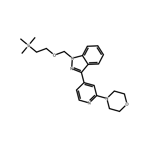 C[Si](C)(C)CCOCn1nc(-c2ccnc(N3CCOCC3)c2)c2ccccc21